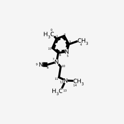 Cc1cc(C)nc(N(C#N)CCN(C)C)c1